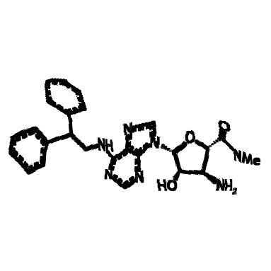 CNC(=O)[C@H]1O[C@@H](n2cnc3c(NCC(c4ccccc4)c4ccccc4)ncnc32)[C@H](O)[C@@H]1N